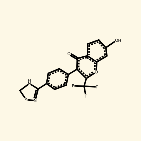 O=c1c(-c2ccc(C3=NSCN3)cc2)c(C(F)(F)F)oc2cc(O)ccc12